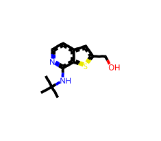 CC(C)(C)Nc1nccc2cc(CO)sc12